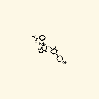 COC(=O)c1ccccc1Nc1nc(Nc2ccc(N3CCC(O)CC3)cc2C)nc2ccsc12